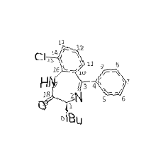 CCC(C)[C@@H]1N=C(c2ccccc2)c2cccc(Cl)c2NC1=O